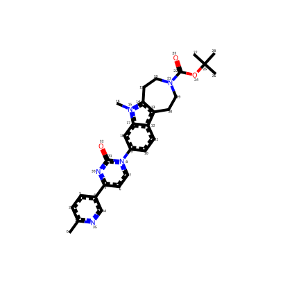 Cc1ccc(-c2ccn(-c3ccc4c5c(n(C)c4c3)CCN(C(=O)OC(C)(C)C)CC5)c(=O)n2)cn1